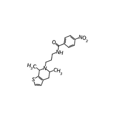 CC1Cc2ccsc2C(C)N1CCCNC(=O)c1ccc([N+](=O)[O-])cc1